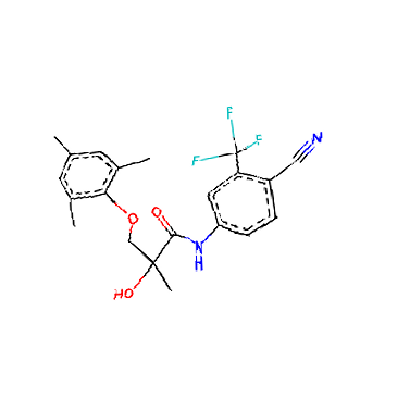 Cc1cc(C)c(OCC(C)(O)C(=O)Nc2ccc(C#N)c(C(F)(F)F)c2)c(C)c1